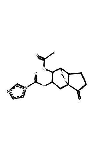 O=C(I)OC1C(OC(=O)n2ccnc2)CC23CCC1C2CCC3=O